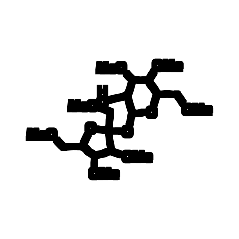 COCC1OC(OC2(COC)OC(COC)C(OC)C2OC)C(O)C(OC)C1OC